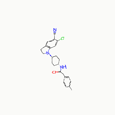 Cc1ccc(C(=O)N[C@H]2CC[C@H](N3CCc4cc(C#N)c(Cl)cc43)CC2)cc1